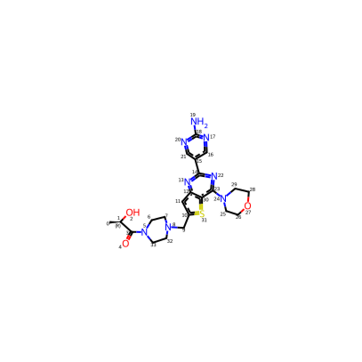 C[C@@H](O)C(=O)N1CCN(Cc2cc3nc(-c4cnc(N)nc4)nc(N4CCOCC4)c3s2)CC1